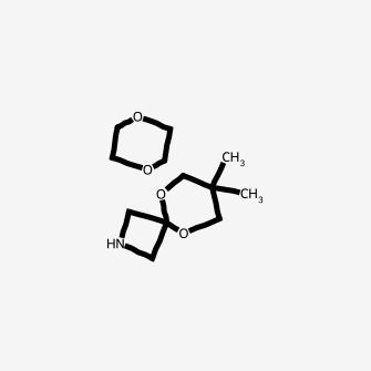 C1COCCO1.CC1(C)COC2(CNC2)OC1